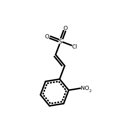 O=[N+]([O-])c1ccccc1/C=C/S(=O)(=O)Cl